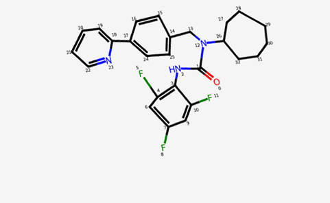 O=C(Nc1c(F)cc(F)cc1F)N(Cc1ccc(-c2ccccn2)cc1)C1CCCCCC1